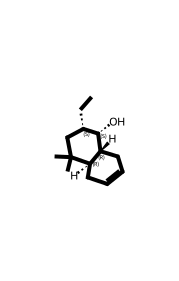 CC[C@H]1CC(C)(C)[C@@H]2CC=CC[C@H]2[C@H]1O